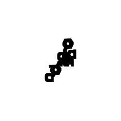 O=S(=O)(NCc1[c]cc(Cl)cc1)C(Cl)Cc1ccccc1